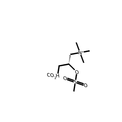 C[N+](C)(C)C[C@@H](CC(=O)O)OS(C)(=O)=O